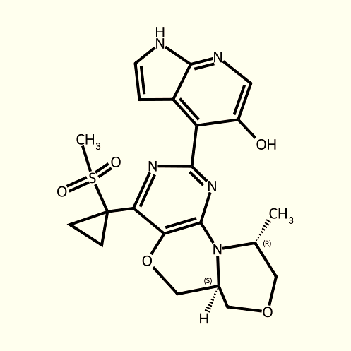 C[C@@H]1COC[C@H]2COc3c(nc(-c4c(O)cnc5[nH]ccc45)nc3C3(S(C)(=O)=O)CC3)N21